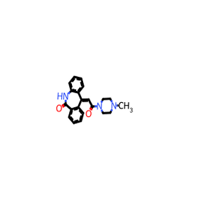 CN1CCN(C(=O)C=C2c3ccccc3NC(=O)c3ccccc32)CC1